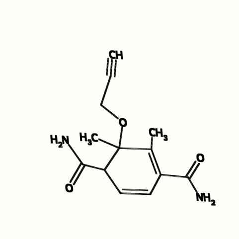 C#CCOC1(C)C(C)=C(C(N)=O)C=CC1C(N)=O